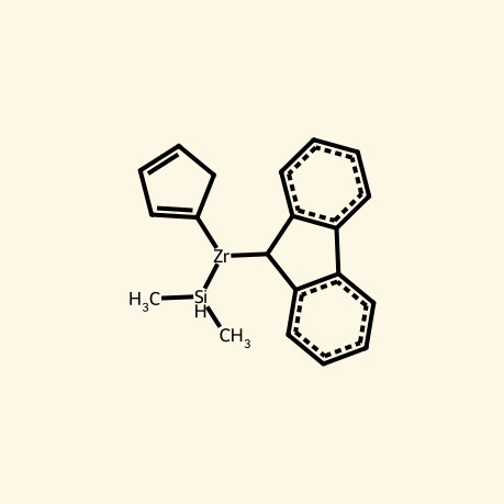 C[SiH](C)[Zr]([C]1=CC=CC1)[CH]1c2ccccc2-c2ccccc21